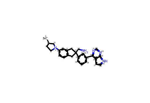 N#CC1CCN(c2ccc3c(c2)CC(CN)(c2cccc(-c4ncnc5[nH]ccc45)c2)C3)C1